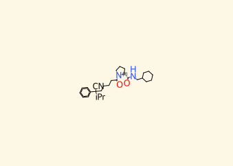 CC(C)C(C#N)(CCCCC(=O)N1CCC[C@@H]1C(=O)NCC1CCCCC1)c1ccccc1